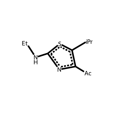 CCNc1nc(C(C)=O)c(C(C)C)s1